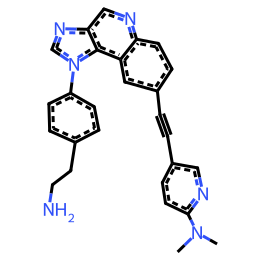 CN(C)c1ccc(C#Cc2ccc3ncc4ncn(-c5ccc(CCN)cc5)c4c3c2)cn1